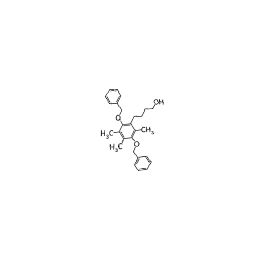 Cc1c(C)c(OCc2ccccc2)c(CCCCO)c(C)c1OCc1ccccc1